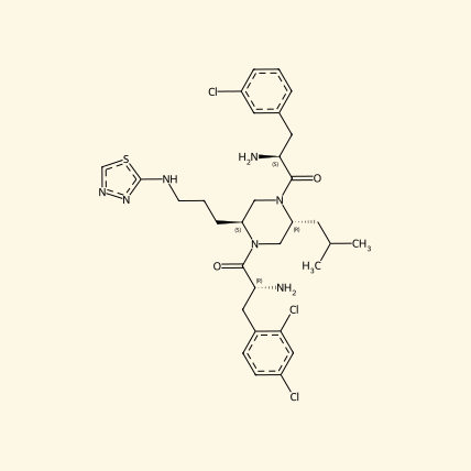 CC(C)C[C@@H]1CN(C(=O)[C@H](N)Cc2ccc(Cl)cc2Cl)[C@@H](CCCNc2nncs2)CN1C(=O)[C@@H](N)Cc1cccc(Cl)c1